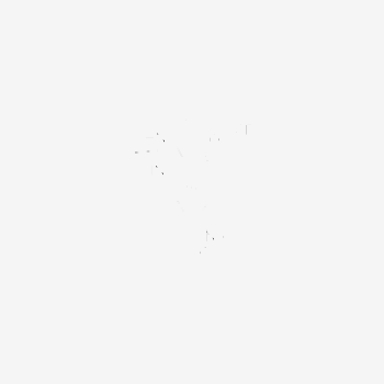 CC1=C(C(=O)OCC(F)(F)F)C(c2ccc(N(C)C)cc2)NC(=O)N1